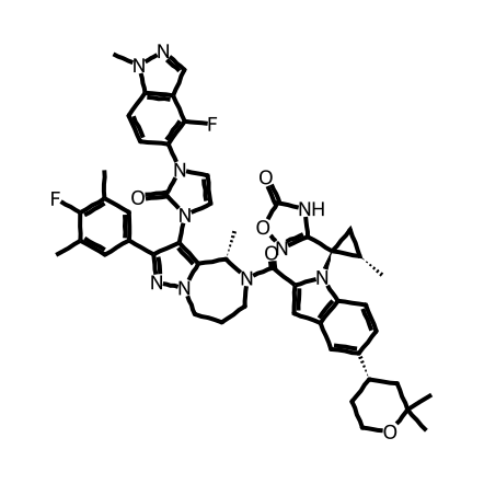 Cc1cc(-c2nn3c(c2-n2ccn(-c4ccc5c(cnn5C)c4F)c2=O)[C@H](C)N(C(=O)c2cc4cc([C@H]5CCOC(C)(C)C5)ccc4n2[C@@]2(c4noc(=O)[nH]4)C[C@@H]2C)CCC3)cc(C)c1F